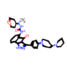 CN(NC(=O)Nc1cccc2c1C(=O)c1c(-c3ccc(N4CCC(N5CCCCC5)CC4)cc3)n[nH]c1-2)C1CCOCC1